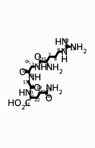 C[C@H](NC(=O)[C@@H](N)CCCNC(=N)N)C(=O)NCC(=O)N[C@@H](CCC(N)=O)C(=O)O